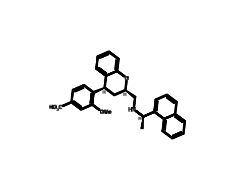 COc1cc(C(=O)O)ccc1[C@@H]1C[C@H](CN[C@H](C)c2cccc3ccccc23)Oc2ccccc21